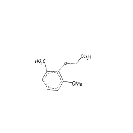 COc1cccc(C(=O)O)c1OCC(=O)O